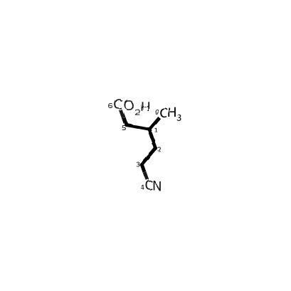 CC(CCC#N)CC(=O)O